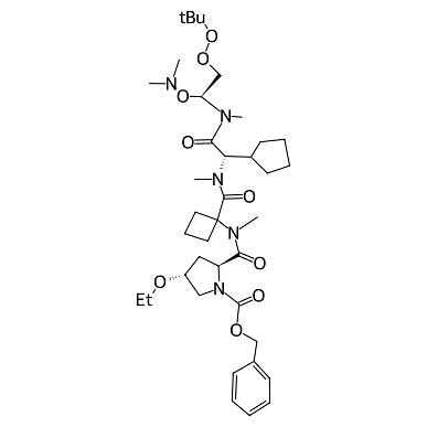 CCO[C@@H]1C[C@@H](C(=O)N(C)C2(C(=O)N(C)[C@H](C(=O)N(C)[C@H](COOC(C)(C)C)ON(C)C)C3CCCC3)CCC2)N(C(=O)OCc2ccccc2)C1